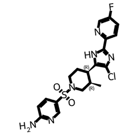 C[C@H]1CN(S(=O)(=O)c2ccc(N)nc2)CC[C@H]1c1[nH]c(-c2ccc(F)cn2)nc1Cl